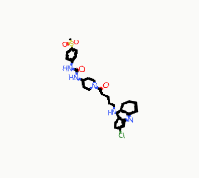 CS(=O)(=O)c1ccc(NC(=O)NC2CCN(C(=O)CCCCNc3c4c(nc5cc(Cl)ccc35)CCCC4)CC2)cc1